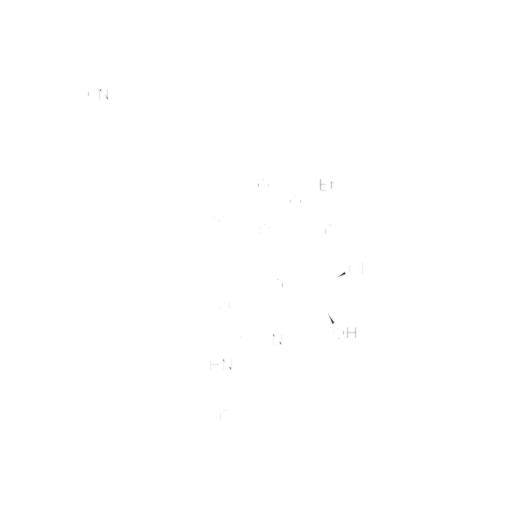 CCOC(OCc1ccccc1)(OC(=O)OCCc1ccc([N+](=O)[O-])cc1)[C@H]1O[C@@H](n2ccc(=O)[nH]c2=O)[C@H](O)[C@@H]1O